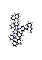 c1ccc(-c2cc(-c3cccc(-c4ccccc4)c3-n3c4ccccc4c4ccccc43)ccc2N(c2ccc(-c3cccc4ccccc34)cc2)c2ccc(-c3cccc4ccccc34)cc2)cc1